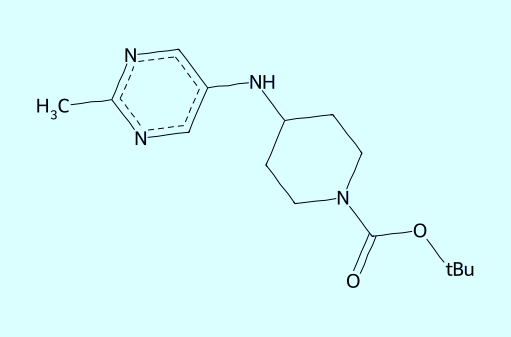 Cc1ncc(NC2CCN(C(=O)OC(C)(C)C)CC2)cn1